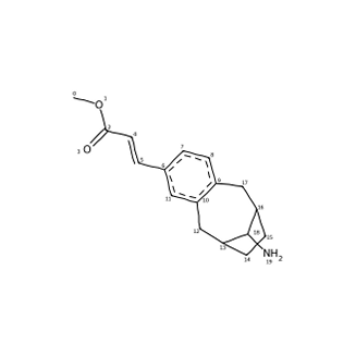 COC(=O)/C=C/c1ccc2c(c1)CC1CCC(C2)C1N